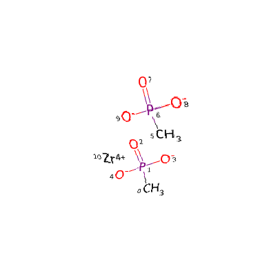 CP(=O)([O-])[O-].CP(=O)([O-])[O-].[Zr+4]